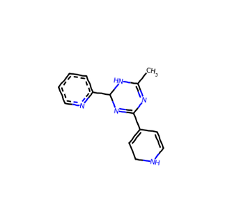 CC1=NC(C2=CCNC=C2)=NC(c2ccccn2)N1